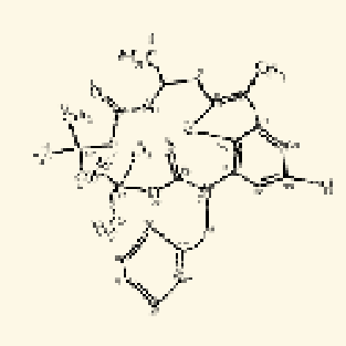 Cc1c(CC(C)NC(=O)OC(C)(C)C)oc2c(N(Cc3ccncc3)C(=O)OC(C)(C)C)cc(Cl)nc12